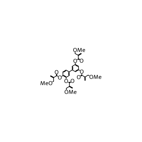 C=C(COC)C(=O)Oc1cc(OC(=O)C(=C)COC)cc(-c2ccc(OC(=O)C(=C)COC)c(OC(=O)C(=C)COC)c2)c1